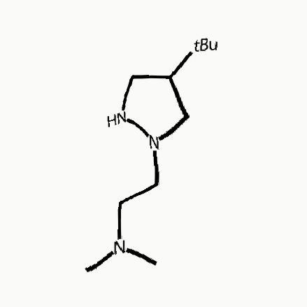 CN(C)CCN1CC(C(C)(C)C)CN1